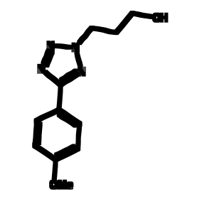 COc1ccc(-c2nnn(CCCO)n2)cc1